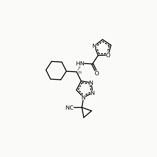 N#CC1(n2cc([C@@H](NC(=O)c3ncco3)C3CCCCC3)nn2)CC1